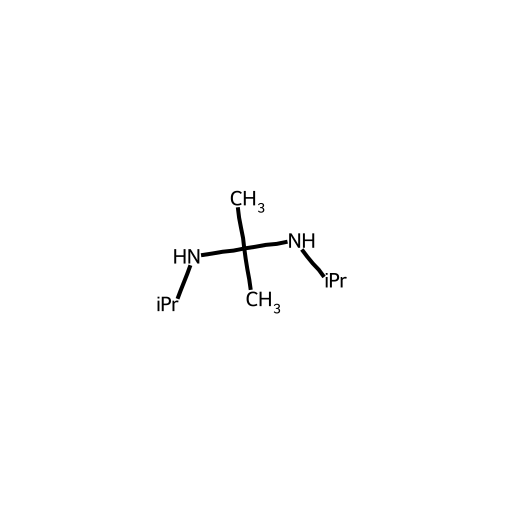 CC(C)NC(C)(C)NC(C)C